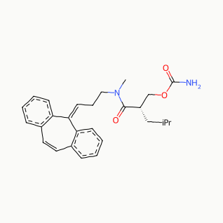 CC(C)C[C@@H](COC(N)=O)C(=O)N(C)CCC=C1c2ccccc2C=Cc2ccccc21